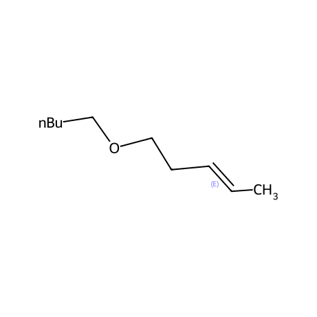 C/C=C/CCOCCCCC